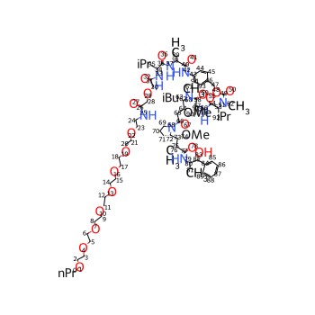 CCCOCCOCCOCCOCCOCCOCCOCCOCCNC(=O)COCC(=O)N[C@H](C(=O)N[C@@H](C)C(=O)Nc1ccc(COC(=O)N(C)[C@H](C(=O)N[C@H](C(=O)N(C)[C@@H]([C@@H](C)CC)[C@@H](CC(=O)N2CCC[C@H]2[C@H](OC)[C@@H](C)C(=O)N[C@H](C)[C@@H](O)c2ccccc2)OC)C(C)C)C(C)C)cc1)C(C)C